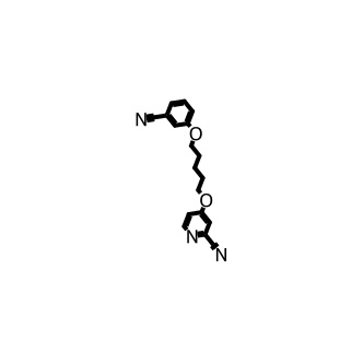 N#Cc1cccc(OCCCCCOc2ccnc(C#N)c2)c1